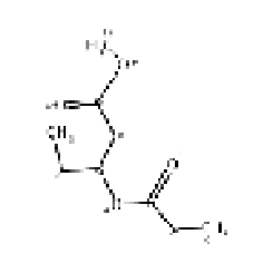 CCC(=O)OC(CC)CC(=O)OC